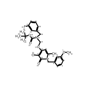 COc1cccc(Cn2c(C)cc(OCN(Cc3cccc(F)c3)C(=O)OC(C)(C)C)c(Cl)c2=O)c1